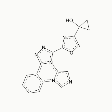 OC1(c2noc(-c3nnc4c5ccccc5n5cncc5n34)n2)CC1